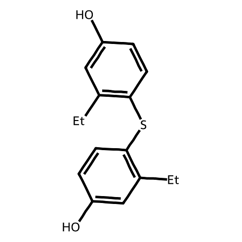 CCc1cc(O)ccc1Sc1ccc(O)cc1CC